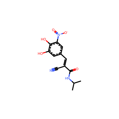 CC(C)NC(=O)/C(C#N)=C/c1cc(O)c(O)c([N+](=O)[O-])c1